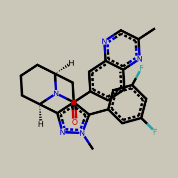 Cc1cnc2cc(C(=O)N3[C@H]4CCC[C@@H]3c3nn(C)c(-c5cc(F)cc(F)c5)c3C4)ccc2n1